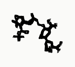 CC(CCOc1cnc(-c2ccnc(C(F)F)c2)cc1C(F)F)CC1COC(C)(C)N1C(=O)OC(C)(C)C